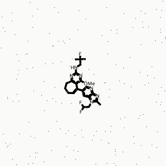 COc1nc(NCC(C)(C)F)nc2c1C(c1cnc3nc(C)n(CC(F)F)c3c1)=CCCC2